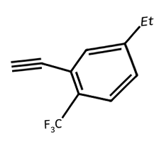 C#Cc1cc(CC)ccc1C(F)(F)F